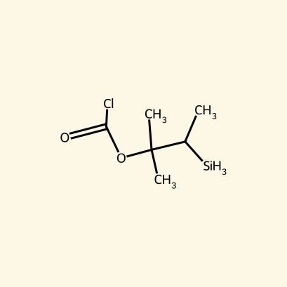 CC([SiH3])C(C)(C)OC(=O)Cl